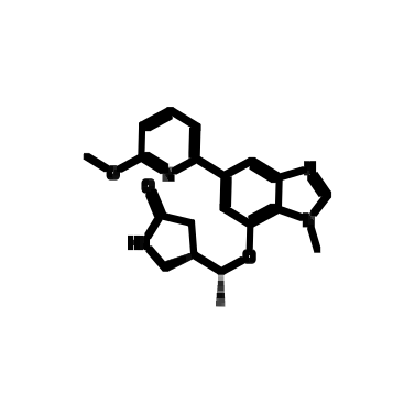 COc1cccc(-c2cc(O[C@H](C)[C@H]3CNC(=O)C3)c3c(c2)ncn3C)n1